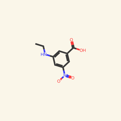 CCNc1cc(C(=O)O)cc([N+](=O)[O-])c1